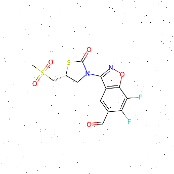 CS(=O)(=O)C[C@H]1CN(c2noc3c(F)c(F)c(C=O)cc23)C(=O)S1